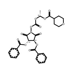 C[C@@H](OC(=O)ON1C(=O)[C@@H](OC(=O)c2ccccc2)[C@H](OC(=O)c2ccccc2)C1=O)OC(=O)C1CCOCC1